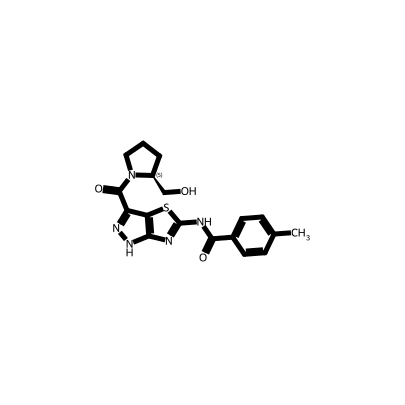 Cc1ccc(C(=O)Nc2nc3[nH]nc(C(=O)N4CCC[C@H]4CO)c3s2)cc1